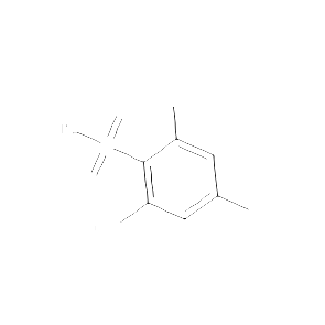 CCCc1cc(CCC)c(S([NH])(=O)=O)c(CCC)c1